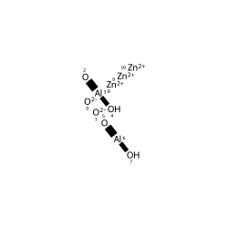 [O-2].[O-2].[O]=[Al][OH].[O]=[Al][OH].[Zn+2].[Zn+2].[Zn+2]